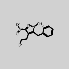 Cn1nc([N+](=O)[O-])c(CCBr)c1Cc1ccccc1